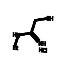 CCNC(=N)CS.Cl